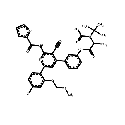 COCOc1cc(Cl)ccc1-c1cc(-c2cccc(NC(=O)C(C)N(C(=O)O)C(C)(C)C)c2)c(C#N)c(NC(=O)c2ccco2)n1